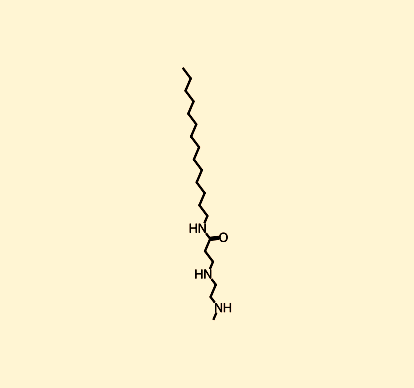 CCCCCCCCCCCCCCNC(=O)CCNCCNC